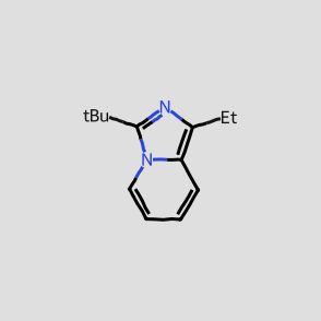 CCc1nc(C(C)(C)C)n2ccccc12